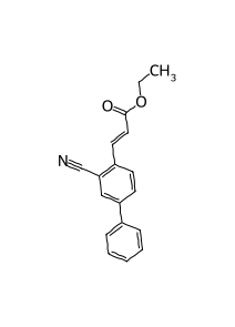 CCOC(=O)C=Cc1ccc(-c2ccccc2)cc1C#N